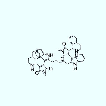 CN1C(=O)C(c2c(CCCCCc3[nH]c4ccccc4c3C3=C(C4NCCc5ccccc54)C(=O)N(C)C3=O)[nH]c3ccccc23)=C(C2NCCc3ccccc32)C1=O